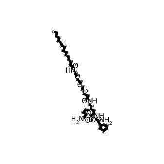 CCCCCCCCCCCCCCCC(=O)NCCOCCOCCOCCC(=O)NCCCCC(NC(=O)C(N)Cc1ccccc1)C(=O)N1CCCC1C(N)=O